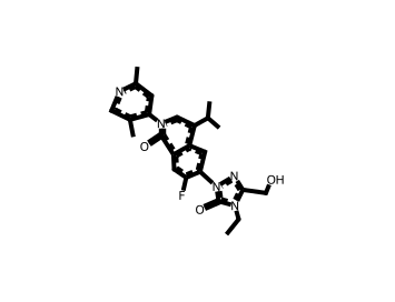 CCn1c(CO)nn(-c2cc3c(C(C)C)cn(-c4cc(C)ncc4C)c(=O)c3cc2F)c1=O